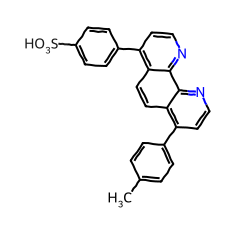 Cc1ccc(-c2ccnc3c2ccc2c(-c4ccc(S(=O)(=O)O)cc4)ccnc23)cc1